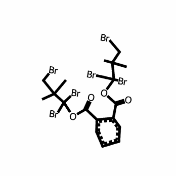 CC(C)(CBr)C(Br)(Br)OC(=O)c1ccccc1C(=O)OC(Br)(Br)C(C)(C)CBr